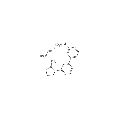 CN1CCCC1c1cncc(-c2cccc(Cl)c2)c1.O=C(O)/C=C/C(=O)O